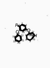 Fc1ccc(OC23CCCC(CC2)N3)cc1Oc1ccccc1